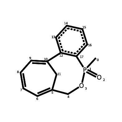 CP1(=O)OCC2=CC=CC=C(C2)c2ccccc21